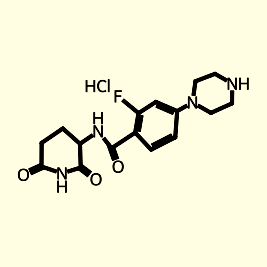 Cl.O=C1CCC(NC(=O)c2ccc(N3CCNCC3)cc2F)C(=O)N1